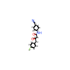 N#Cc1ccc(NC(=O)CC(=O)Cc2ccc(F)cc2)cc1